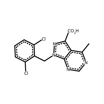 Cc1ncnc2c1c(C(=O)O)nn2Cc1c(Cl)cccc1Cl